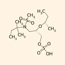 CC[C@H](C)O[C@H](COS(=O)(=O)O)CN(C(C)(C)CC)S(C)(=O)=O